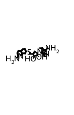 Nc1ccc2ccc(SCC3=CC(n4ccc5c(N)ncnc54)[C@@H](O)C3O)cc2n1